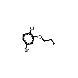 FCCOc1cc(Br)ccc1Cl